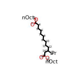 CCCCCCCCOC(=O)CCCCCCCCCC(CC(=O)OCCCCCCCC)C(C)C